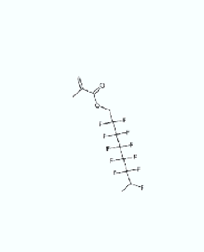 C=C(C)C(=O)OCC(F)(F)C(F)(F)C(F)(F)C(F)(F)C(F)(F)C(C)F